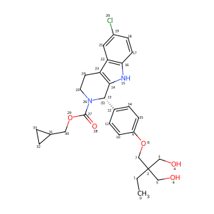 CCC(CO)(CO)COc1ccc([C@H]2c3[nH]c4ccc(Cl)cc4c3CCN2C(=O)OCC2CC2)cc1